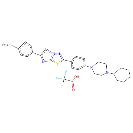 CCOC(=O)c1ccc(-c2cn3nc(-c4ccc(N5CCN(C6CCCCC6)CC5)cc4)sc3n2)cc1.O=C(O)C(F)(F)F